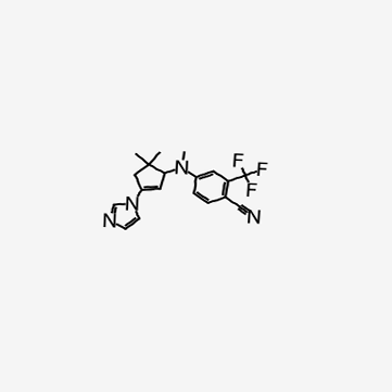 CN(c1ccc(C#N)c(C(F)(F)F)c1)C1C=C(n2ccnc2)CC1(C)C